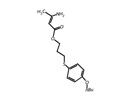 CCCCOc1ccc(SCCCOC(=O)C=C(C)N)cc1